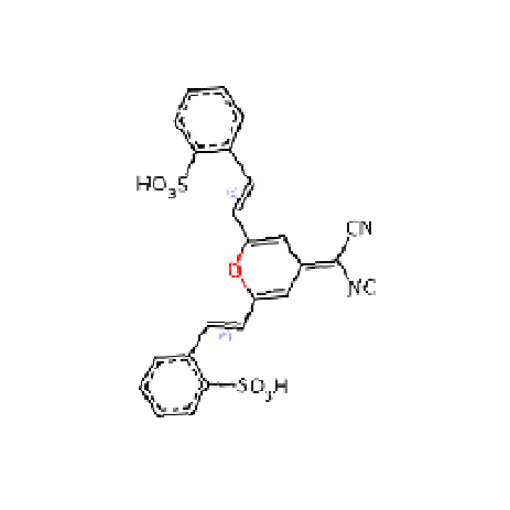 [C-]#[N+]C(C#N)=C1C=C(/C=C/c2ccccc2S(=O)(=O)O)OC(/C=C/c2ccccc2S(=O)(=O)O)=C1